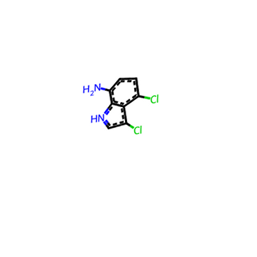 Nc1ccc(Cl)c2c(Cl)c[nH]c12